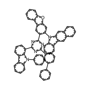 c1ccc(-c2cccc(-c3nc(-c4cc5c(cc4-n4c6ccccc6c6cc7ccccc7cc64)oc4ccccc45)nc(-c4cccc5c6ccccc6n(-c6ccccc6)c45)n3)c2)cc1